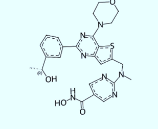 C[C@@H](O)c1cccc(-c2nc(N3CCOCC3)c3sc(CN(C)c4ncc(C(=O)NO)cn4)cc3n2)c1